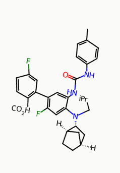 Cc1ccc(NC(=O)Nc2cc(-c3cc(F)ccc3C(=O)O)c(F)cc2N(CC(C)C)[C@@H]2C[C@H]3CC[C@@H]2C3)cc1